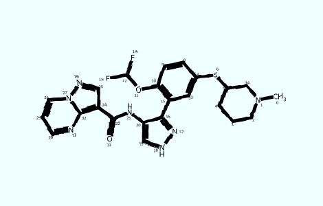 CN1CCCC(Sc2ccc(OC(F)F)c(-c3n[nH]cc3NC(=O)c3cnn4cccnc34)c2)C1